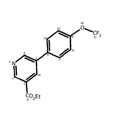 CCOC(=O)c1cncc(-c2ccc(OC(F)(F)F)cc2)c1